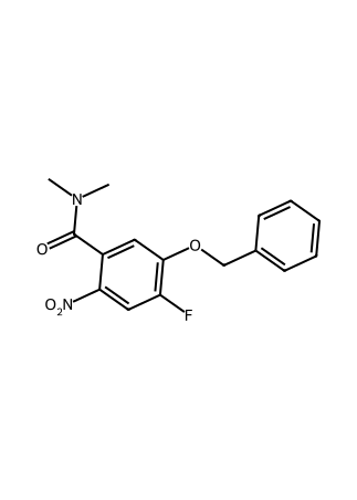 CN(C)C(=O)c1cc(OCc2ccccc2)c(F)cc1[N+](=O)[O-]